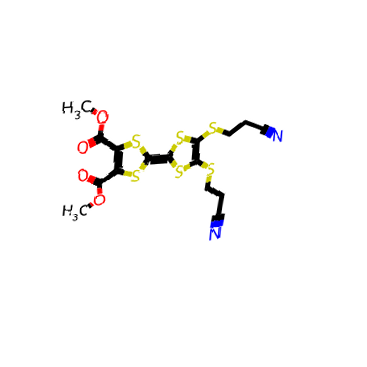 COC(=O)C1=C(C(=O)OC)SC(=C2SC(SCCC#N)=C(SCCC#N)S2)S1